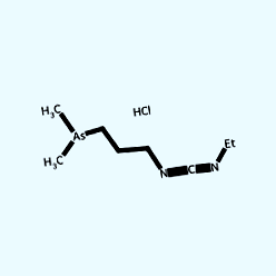 CCN=C=NCCC[As](C)C.Cl